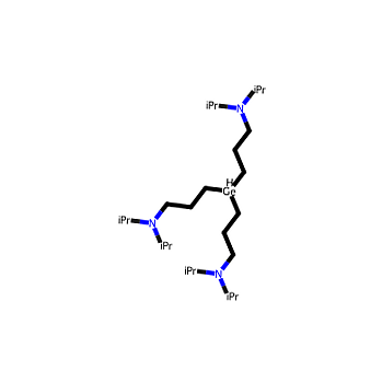 CC(C)N(CC[CH2][GeH]([CH2]CCN(C(C)C)C(C)C)[CH2]CCN(C(C)C)C(C)C)C(C)C